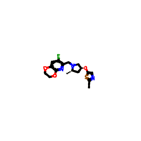 Cc1ncc(O[C@@H]2C[C@H](C)N(Cc3nc4c(cc3F)OCCO4)C2)s1